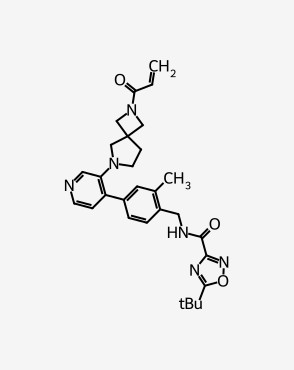 C=CC(=O)N1CC2(CCN(c3cnccc3-c3ccc(CNC(=O)c4noc(C(C)(C)C)n4)c(C)c3)C2)C1